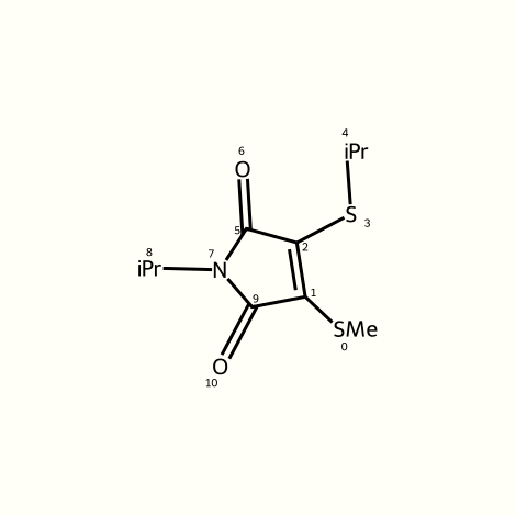 CSC1=C(SC(C)C)C(=O)N(C(C)C)C1=O